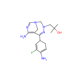 CC(C)(O)CN1CN2C=NC(N)=C(C2)C(C2C=C(F)C(N)=CC2)=N1